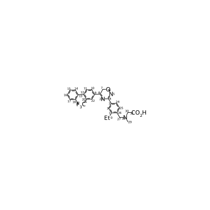 CCc1cc(C2=NOCC(c3ccc(-c4ccccc4C)c(C(F)(F)F)c3)=N2)ccc1CN(C)CC(=O)O